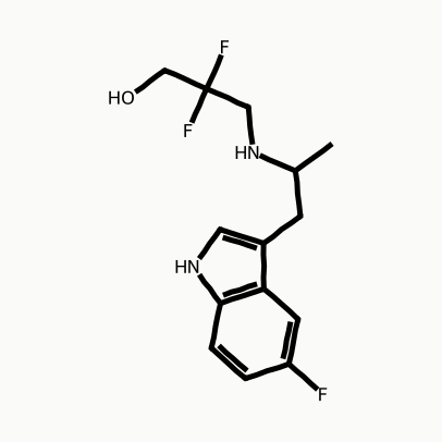 CC(Cc1c[nH]c2ccc(F)cc12)NCC(F)(F)CO